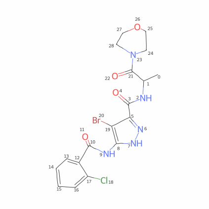 CC(NC(=O)c1n[nH]c(NC(=O)c2ccccc2Cl)c1Br)C(=O)N1CCOCC1